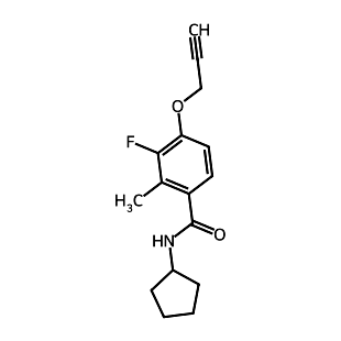 C#CCOc1ccc(C(=O)NC2CCCC2)c(C)c1F